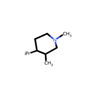 CC(C)C1CCN(C)CC1C